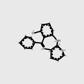 Clc1cccc2c1C(c1ccccc1)=Nc1cccnc1N2